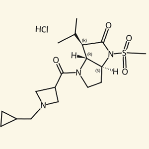 CC(C)[C@H]1C(=O)N(S(C)(=O)=O)[C@H]2CCN(C(=O)C3CN(CC4CC4)C3)[C@H]12.Cl